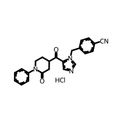 Cl.N#Cc1ccc(Cn2cncc2C(=O)C2CCN(c3ccccc3)C(=O)C2)cc1